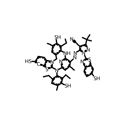 CCc1cc(C)c(S)c(CC)c1Nc1nc(N(c2nc3ccc(S)cc3s2)c2c(CC)cc(C)c(S)c2CC)cc(C)c1/N=N/c1c(C#N)c(C(C)(C)C)nn1-c1nc2ccc(S)cc2s1